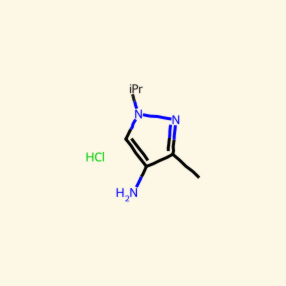 Cc1nn(C(C)C)cc1N.Cl